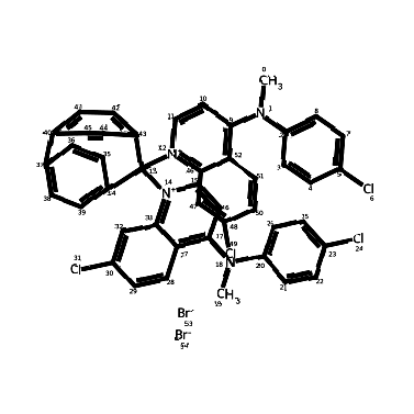 CN(c1ccc(Cl)cc1)c1cc[n+](C2([n+]3ccc(N(C)c4ccc(Cl)cc4)c4ccc(Cl)cc43)c3ccc(cc3)-c3ccc2cc3)c2cc(Cl)ccc12.[Br-].[Br-]